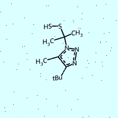 Cc1c(C(C)(C)C)nnn1C(C)(C)SS